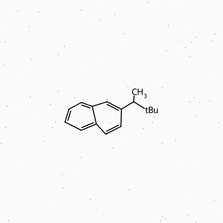 CC(c1[c]c2ccccc2cc1)C(C)(C)C